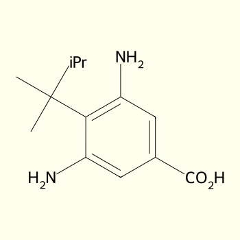 CC(C)C(C)(C)c1c(N)cc(C(=O)O)cc1N